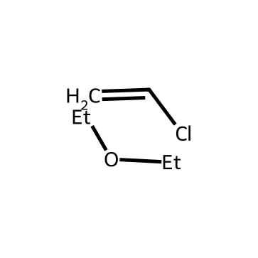 C=CCl.CCOCC